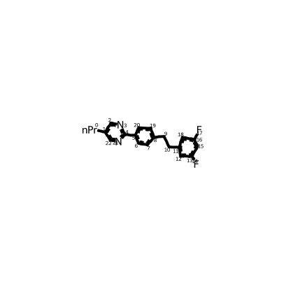 CCCc1cnc(-c2ccc(CCc3cc(F)cc(F)c3)cc2)nc1